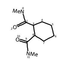 CNC(=O)C1CCCCC1C(=O)NC